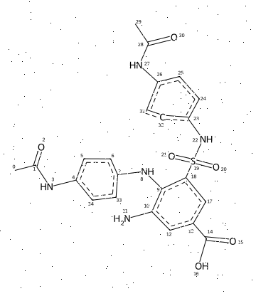 CC(=O)Nc1ccc(Nc2c(N)cc(C(=O)O)cc2S(=O)(=O)Nc2ccc(NC(C)=O)cc2)cc1